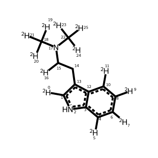 [2H]c1[nH]c2c([2H])c([2H])c([2H])c([2H])c2c1CC([2H])N(C([2H])([2H])[2H])C([2H])([2H])[2H]